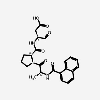 C[C@H](NC(=O)c1cccc2ccccc12)C(=O)N1CCC[C@H]1C(=O)N[C@H](C=O)CC(=O)O